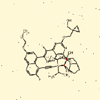 COCOc1cc(-c2ncc3c(N4CC5CCC(C4)N5C(=O)O)nc(OCC4(CO)CC4)nc3c2F)c2c(C#C[Si](C(C)C)(C(C)C)C(C)C)c(F)ccc2c1